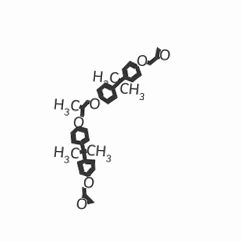 CC(COc1ccc(C(C)(C)c2ccc(OCC3CO3)cc2)cc1)COc1ccc(C(C)(C)c2ccc(OCC3CO3)cc2)cc1